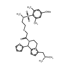 COc1cc(C)c(S(=O)(=O)N(C)CCOCC(=O)N2CCn3c(CN(C)C)ccc3C2c2cccs2)c(C)c1